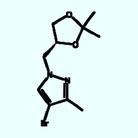 Cc1nn(C[C@@H]2COC(C)(C)O2)cc1Br